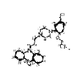 Fc1ccc(OCC(F)(F)F)c(N2CCN(CCCN3c4ccccc4Oc4ccccc43)CC2)c1